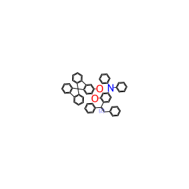 C(=C(\c1ccccc1)c1ccc(N(c2ccccc2)c2ccccc2)c2c1Oc1cc3c(cc1O2)-c1ccccc1C31c2ccccc2-c2ccccc21)/c1ccccc1